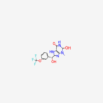 CN1c2nc(C(O)c3cccc(OC(F)(F)F)c3)[nH]c2C(=O)NC1O